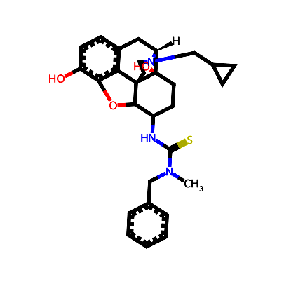 CN(Cc1ccccc1)C(=S)NC1CC[C@@]2(O)[C@H]3Cc4ccc(O)c5c4[C@@]2(CCN3CC2CC2)C1O5